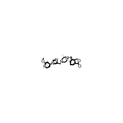 COc1cc(-n2cnc(CN3C[C@@H](c4ccc5c(c4C)COC5=O)N[C@@H](C)C3)c2)ccn1